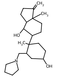 C=C1CCC2C(O)C(C3(C)CCC(O)CC3CN3CCCC3)CCC12C